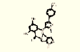 Cn1nc(-c2ccc(C(F)(F)F)cc2)cc1Nc1cc(O)cc(O)c1C(=O)N1Cc2cn[nH]c2C1